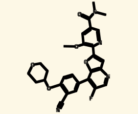 COc1cc(C(=O)N(C)C)cnc1-c1cc2ncc(F)c(-c3ccc(OC4CCOCC4)c(C#N)c3)c2o1